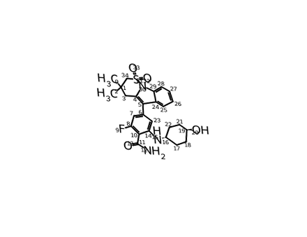 CC1(C)Cc2c(-c3cc(F)c(C(N)=O)c(N[C@H]4CC[C@H](O)CC4)c3)c3ccccc3n2S(=O)(=O)C1